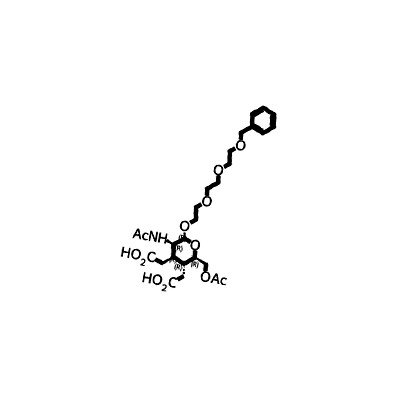 CC(=O)N[C@H]1[C@H](OCCOCCOCCOCc2ccccc2)O[C@@H](COC(C)=O)[C@H](CC(=O)O)[C@H]1CC(=O)O